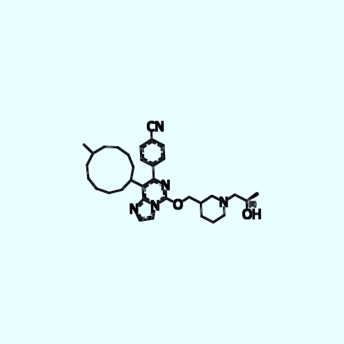 CC1CCCCCC(c2c(-c3ccc(C#N)cc3)nc(OCC3CCCN(C[C@@H](C)O)C3)n3ccnc23)CCCC1